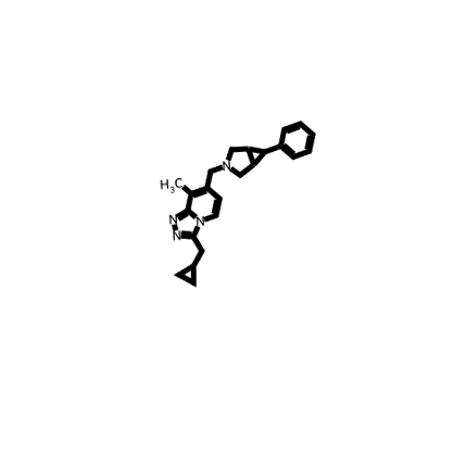 Cc1c(CN2CC3C(C2)C3c2ccccc2)ccn2c(CC3CC3)nnc12